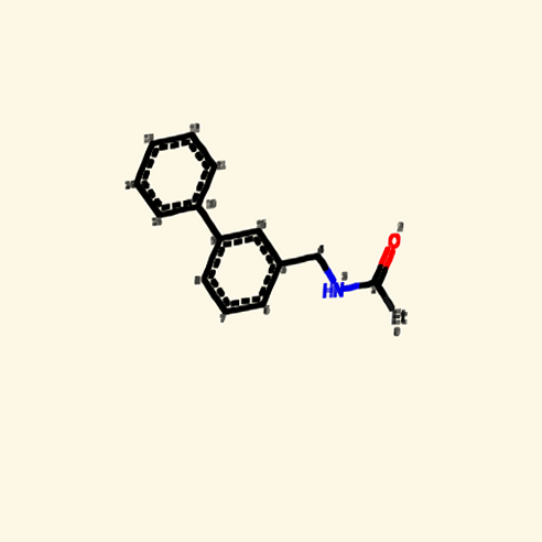 CCC(=O)NCc1cccc(-c2ccccc2)c1